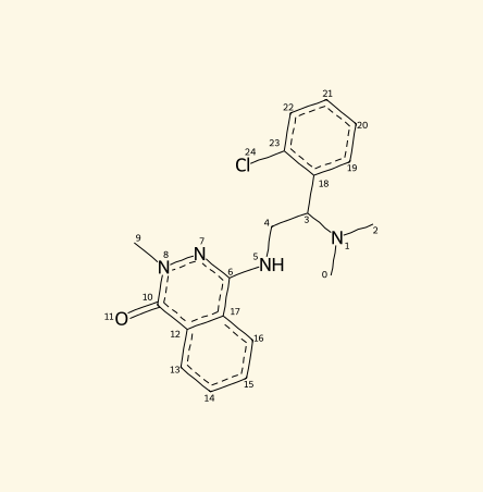 CN(C)C(CNc1nn(C)c(=O)c2ccccc12)c1ccccc1Cl